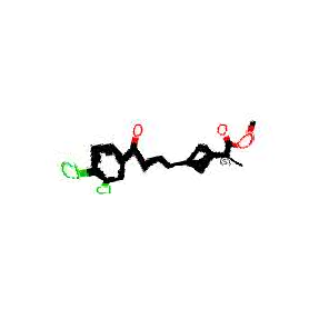 COC(=O)[C@@H](C)C12CC(CCCC(=O)c3ccc(Cl)c(Cl)c3)(C1)C2